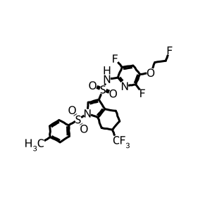 Cc1ccc(S(=O)(=O)n2cc(S(=O)(=O)Nc3nc(F)c(OCCF)cc3F)c3c2CC(C(F)(F)F)CC3)cc1